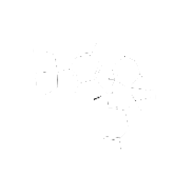 CC[Si](CC)(CC)c1cc(Br)nc([C@@]2(C)N=C(NC(=O)O)C(C)(C)S3(O)NCCC[C@@H]23)c1F